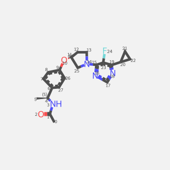 CC(=O)N[C@@H](C)c1ccc(O[C@@H]2CCN(c3ncnc(C4CC4)c3F)C2)cc1